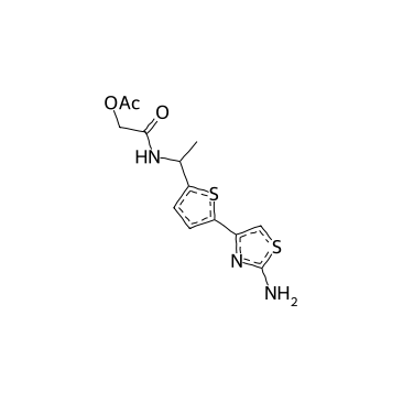 CC(=O)OCC(=O)NC(C)c1ccc(-c2csc(N)n2)s1